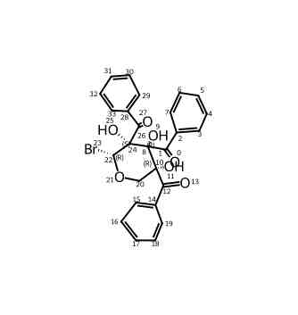 O=C(c1ccccc1)[C@@]1(O)[C@@](O)(C(=O)c2ccccc2)CO[C@H](Br)[C@@]1(O)C(=O)c1ccccc1